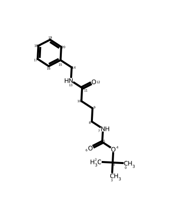 CC(C)(C)OC(=O)NCCCC(=O)NCc1cc[c]cc1